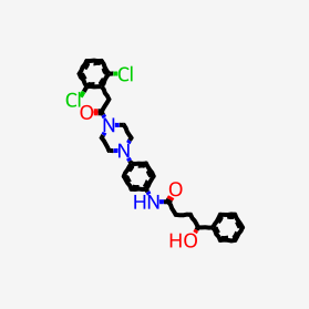 O=C(CCC(O)c1ccccc1)Nc1ccc(N2CCN(C(=O)Cc3c(Cl)cccc3Cl)CC2)cc1